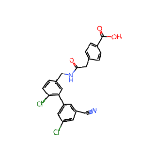 N#Cc1cc(Cl)cc(-c2cc(CNC(=O)Cc3ccc(C(=O)O)cc3)ccc2Cl)c1